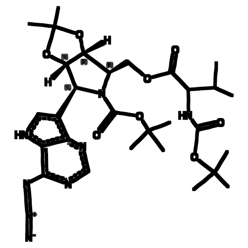 CC(C)C(NC(=O)OC(C)(C)C)C(=O)OC[C@@H]1[C@H]2OC(C)(C)O[C@H]2[C@H](c2c[nH]c3c(N=[N+]=[N-])ncnc23)N1C(=O)OC(C)(C)C